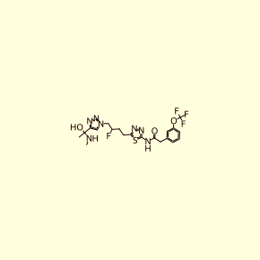 CNC(C)(O)c1cn(CC(F)CCc2nnc(NC(=O)Cc3cccc(OC(F)(F)F)c3)s2)nn1